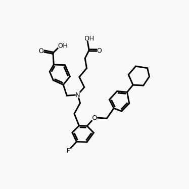 O=C(O)CCCCN(CCc1cc(F)ccc1OCc1ccc(C2CCCCC2)cc1)Cc1ccc(C(=O)O)cc1